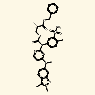 Cc1ccc(N(C(=O)OC[C@H](C)C(=O)OCc2ccccc2)c2nccc(N(C)c3ccc4c(C)n(C)nc4c3)n2)cc1S(N)(=O)=O